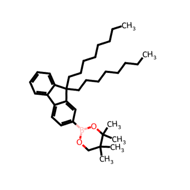 CCCCCCCCC1(CCCCCCCC)c2ccccc2-c2ccc(B3OCC(C)(C)C(C)(C)O3)cc21